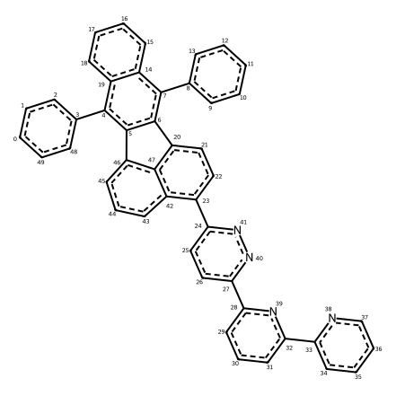 c1ccc(-c2c3c(c(-c4ccccc4)c4ccccc24)-c2ccc(-c4ccc(-c5cccc(-c6ccccn6)n5)nn4)c4cccc-3c24)cc1